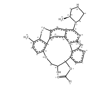 CCC(=O)OC1c2ccnc(C(C)C)c2-n2c(=O)nc(N3CCNC[C@@H]3C)c3cc(F)c(nc32)-c2c(ccc(C)c2F)OCC1O